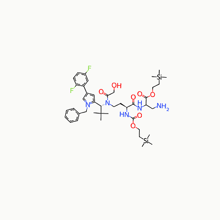 CC(C)(C)[C@H](c1cc(-c2cc(F)ccc2F)cn1Cc1ccccc1)N(CC[C@H](NC(=O)OCC[Si](C)(C)C)C(=O)NC(CN)C(=O)OCC[Si](C)(C)C)C(=O)CO